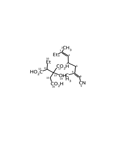 CC/C(C)=C\CC/C(C)=C/C#N.CCC(C(=O)O)C(O)(CC(=O)O)C(=O)O